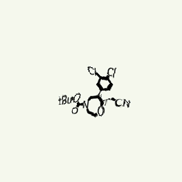 CC(C)(C)OC(=O)N1CCO[C@@H](CC#N)[C@H](c2ccc(Cl)c(Cl)c2)C1